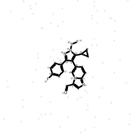 O=Cc1cnc2ccc(-c3c(-c4ccc(F)cc4)nn(SF)c3C3CC3)cn12